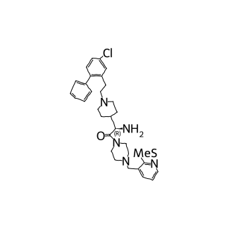 CSc1ncccc1CN1CCN(C(=O)[C@H](N)C2CCN(CCc3cc(Cl)ccc3-c3ccccc3)CC2)CC1